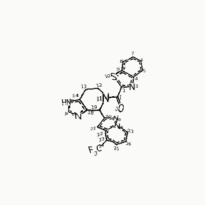 O=C(c1nc2ccccc2s1)N1CCc2[nH]cnc2C1c1cc2c(C(F)(F)F)cccn2n1